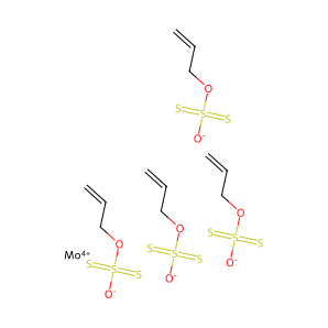 C=CCOS([O-])(=S)=S.C=CCOS([O-])(=S)=S.C=CCOS([O-])(=S)=S.C=CCOS([O-])(=S)=S.[Mo+4]